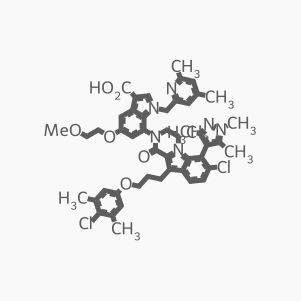 COCCOc1cc(N2CC(C)n3c(c(CCCOc4cc(C)c(Cl)c(C)c4)c4ccc(Cl)c(-c5c(C)nn(C)c5C)c43)C2=O)c2c(c1)c(C(=O)O)cn2Cc1cc(C)cc(C)n1